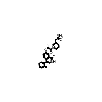 Cc1ccccc1-c1c[nH]c(=O)c2cc(O[C@H](C)C(=O)N3CCC[C@@H](CC(N)=O)C3)ccc12